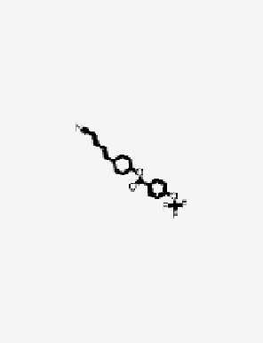 N#CC=C/C=C/C1CCC(OC(=O)c2ccc(OC(F)(F)F)cc2)CC1